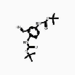 CC(C)(C)OC(=O)Nc1ccc(NC(=O)OC(C)(C)C)c(C=N)c1